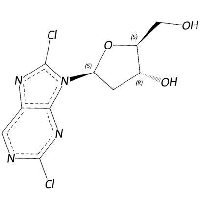 OC[C@@H]1O[C@H](n2c(Cl)nc3cnc(Cl)nc32)C[C@H]1O